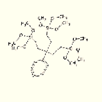 CO[Si](CCC(CC[Si](OC)(OC)OC)(CC[Si](OC)(OC)OC)c1ccccc1)(OC)OC